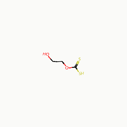 OCCOC(=S)S